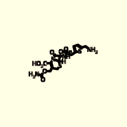 CO[C@@]1(NC(=O)Cc2ccc(CN)s2)C(=O)N2C(C(=O)O)=C(COC(N)=O)CS[C@H]21